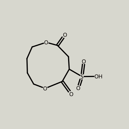 O=C1CC(S(=O)(=O)O)C(=O)OCCCCO1